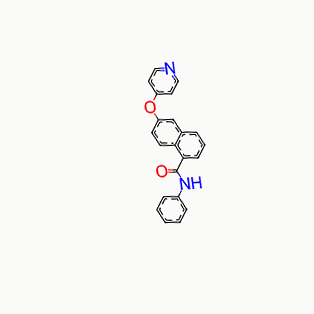 O=C(Nc1ccccc1)c1cccc2cc(Oc3ccncc3)ccc12